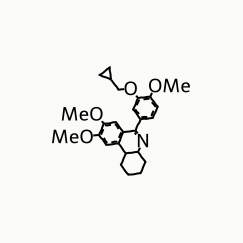 COc1cc2c(cc1OC)C1CCCCC1N=C2c1ccc(OC)c(OCC2CC2)c1